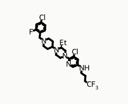 CC[C@H]1CN(c2ncc(NCCCC(F)(F)F)cc2Cl)CCN1C1CCN(Cc2ccc(Cl)cc2F)CC1